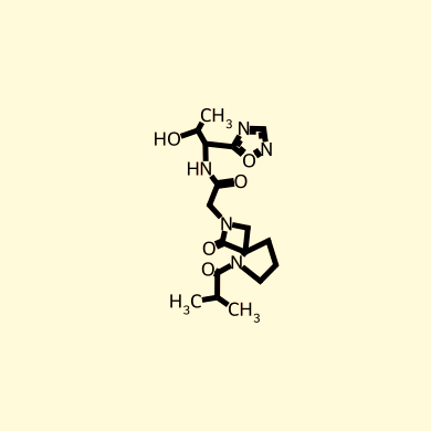 CC(C)C(=O)N1CCCC12CN(CC(=O)NC(c1ncno1)C(C)O)C2=O